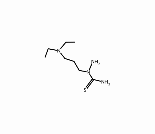 CCN(CC)CCCN(N)C(N)=S